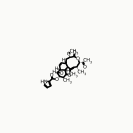 CO[C@H]1C[C@H]2C=C[C@H]3[C@H]4O[C@]2(/C(C)=C/[C@@H](C)[C@@H](C(C)=O)OC1=O)[C@@H]3C(=O)[C@@H](C)[C@H]4OC(=O)c1ccc[nH]1